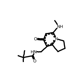 CNc1cc(=O)c(CNC(=O)C(C)(C)C)c2n1CCC2